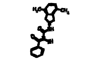 Cc1ccc(C)c2c1CN(NC(=O)N(S)C(=O)c1ccccc1)C2